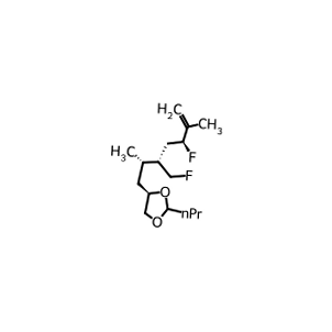 C=C(C)[C@@H](F)C[C@H](CF)[C@@H](C)C[C@@H]1COC(CCC)O1